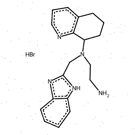 Br.NCCN(Cc1nc2ccccc2[nH]1)C1CCCc2cccnc21